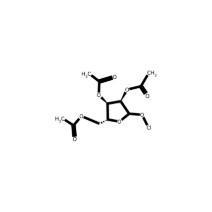 CC(=O)OC[C@H]1OC(OCl)[C@H](OC(C)=O)[C@@H]1OC(C)=O